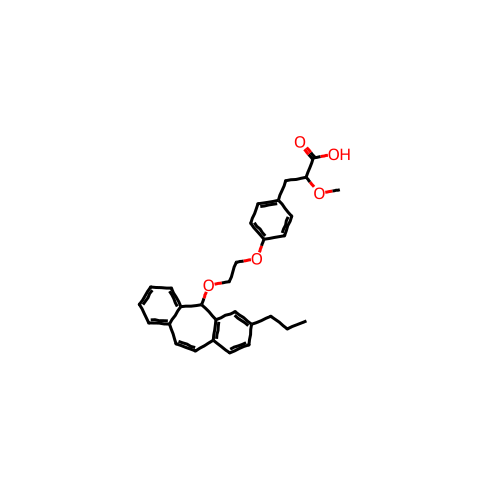 CCCc1ccc2c(c1)C(OCCOc1ccc(CC(OC)C(=O)O)cc1)c1ccccc1C=C2